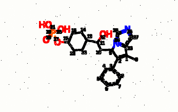 CC1=C(c2ccccc2)C(CC(O)C2CCC(OP(=O)(O)O)CC2)n2cncc21